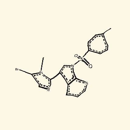 Cc1ccc(S(=O)(=O)n2cc(-c3ncc(Br)n3C)c3cccnc32)cc1